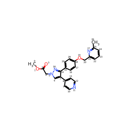 COC(=O)Cn1cc(-c2ccncc2)c(-c2ccc(OCc3cccc(C)n3)cc2)n1